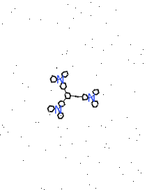 C(#Cc1cc(-c2ccc(N(c3ccccc3)c3ccccc3)cc2)cc(-c2ccc(N(c3ccccc3)c3ccccc3)cc2)c1)c1ccc(N(c2ccccc2)c2ccccc2)cc1